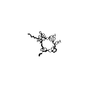 C=CC[C@H]1CC2CC3CCC[C@@H](C[C@@H](O)CC(=O)OC(CO)C[C@@H]4C/C(=C\C(=O)OC)[C@H](OC(=O)CCCCCCC)[C@@](O)(O4)C(C)(C)/C=C/C(O2)O1)O3